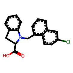 O=C(O)C1Cc2ccccc2N1Cc1cccc2cc(Cl)ccc12